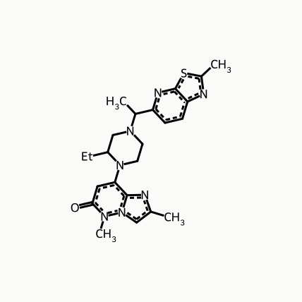 CCC1CN(C(C)c2ccc3nc(C)sc3n2)CCN1c1cc(=O)n(C)n2cc(C)nc12